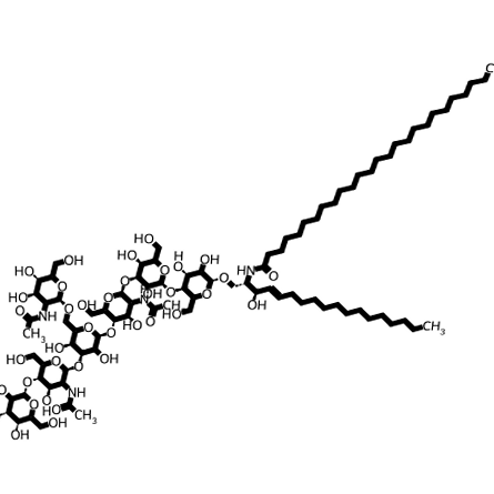 CCCCCCCCCCCCC/C=C/[C@@H](O)[C@H](CO[C@@H]1OC(CO)[C@@H](O[C@@H]2OC(CO)[C@H](O)[C@H](O[C@@H]3OC(CO)[C@@H](O[C@@H]4OC(CO[C@@H]5OC(CO)[C@@H](O)[C@H](O)C5NC(C)=O)[C@H](O)[C@H](O[C@@H]5OC(CO)[C@@H](O[C@@H]6OC(CO)[C@H](O)[C@H](O)C6O)[C@H](O)C5NC(C)=O)C4O)[C@H](O)C3NC(C)=O)C2O)[C@H](O)C1O)NC(=O)CCCCCCCCCCCCCCCCCCCCCCCCC